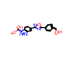 OCc1ccc(-c2nc(-c3ccc4c(c3)nnn4C(O)O)no2)cc1